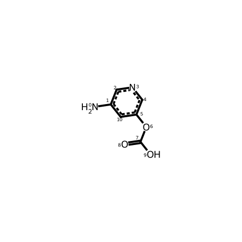 Nc1cncc(OC(=O)O)c1